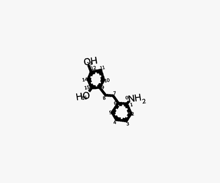 Nc1ccccc1CCc1ccc(O)cc1O